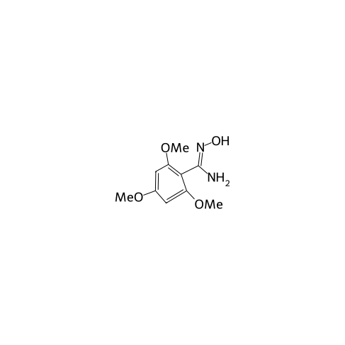 COc1cc(OC)c(C(N)=NO)c(OC)c1